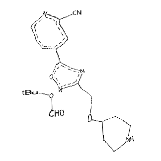 CC(C)(C)OC=O.N#Cc1cc(-c2nc(COC3CCNCC3)no2)ccn1